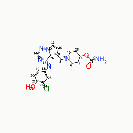 NC(=O)OC1CCN(Cc2ccn3ncnc(Nc4ccc(O)c(Cl)c4)c23)CC1